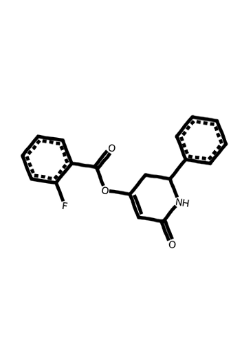 O=C1C=C(OC(=O)c2ccccc2F)CC(c2ccccc2)N1